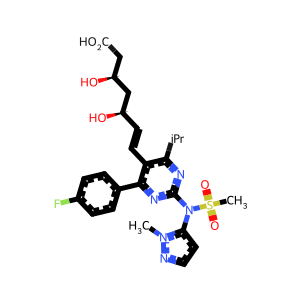 CC(C)c1nc(N(c2ccnn2C)S(C)(=O)=O)nc(-c2ccc(F)cc2)c1/C=C/[C@@H](O)C[C@@H](O)CC(=O)O